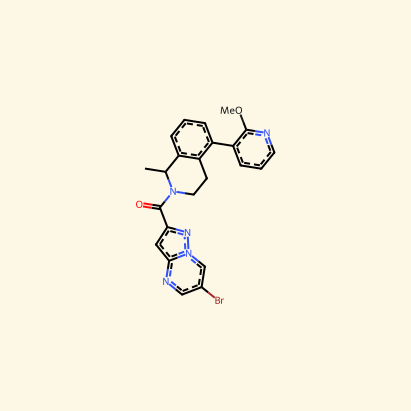 COc1ncccc1-c1cccc2c1CCN(C(=O)c1cc3ncc(Br)cn3n1)C2C